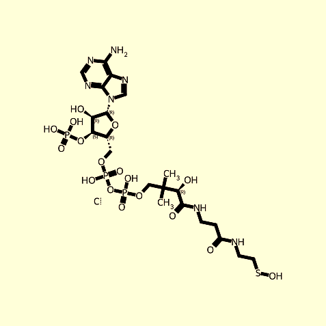 CC(C)(COP(=O)(O)OP(=O)(O)OC[C@H]1O[C@@H](n2cnc3c(N)ncnc32)[C@H](O)[C@@H]1OP(=O)(O)O)[C@@H](O)C(=O)NCCC(=O)NCCSO.[C]